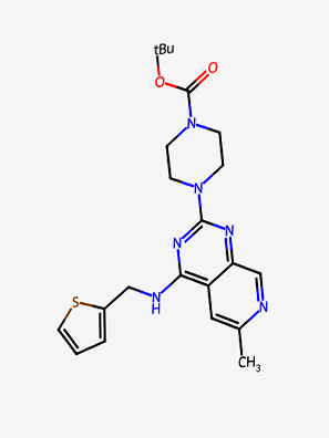 Cc1cc2c(NCc3cccs3)nc(N3CCN(C(=O)OC(C)(C)C)CC3)nc2cn1